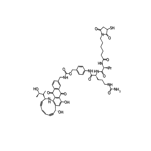 CC(C)[C@H](NC(=O)CCCCCN1C(=O)CC(S)C1=O)C(=O)N[C@@H](CCCNC(N)=O)C(=O)Nc1ccc(COC(=O)NCc2ccc3c(c2)C(=O)c2c(O)cc4c(c2C3=O)N[C@H](C(C)[C@@H](C)O)C#C/C=C\C#C[C@H]4O)cc1